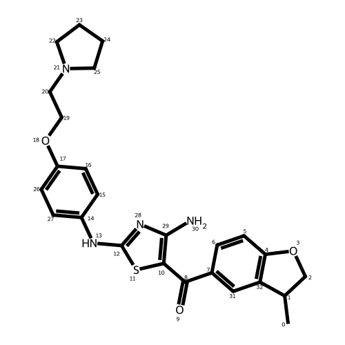 CC1COc2ccc(C(=O)c3sc(Nc4ccc(OCCN5CCCC5)cc4)nc3N)cc21